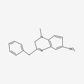 CN1CC(Cc2ccccc2)=Nc2cc([N+](=O)[O-])ccc21